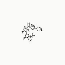 CC(C)N1CC(C)(C)Cc2c(F)cc(-c3nc(Nc4ccc(C5CCN(C)CC5)nn4)ncc3F)cc21